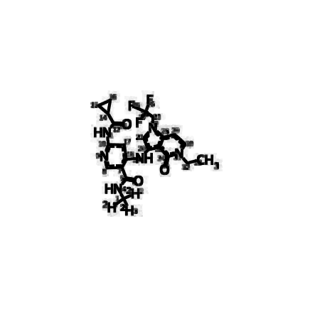 [2H]C([2H])([2H])NC(=O)c1cnc(NC(=O)C2CC2)cc1Nc1cn(CC(F)(F)F)c2ccn(CC)c(=O)c12